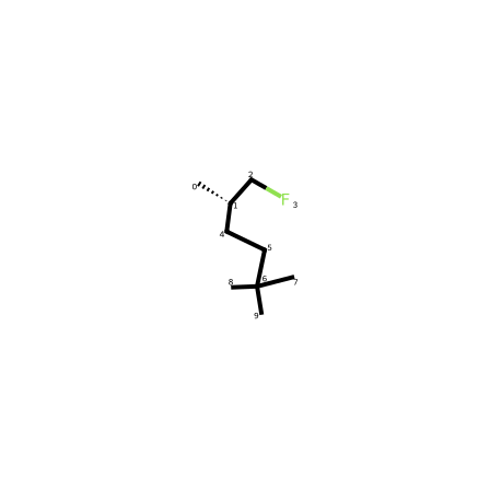 C[C@H](CF)CCC(C)(C)C